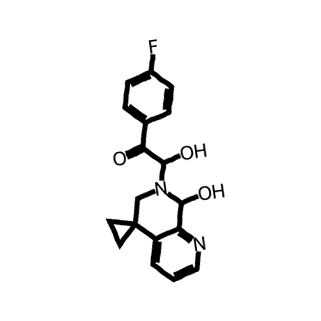 O=C(c1ccc(F)cc1)C(O)N1CC2(CC2)c2cccnc2C1O